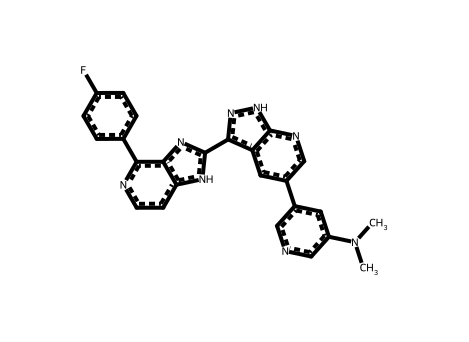 CN(C)c1cncc(-c2cnc3[nH]nc(-c4nc5c(-c6ccc(F)cc6)nccc5[nH]4)c3c2)c1